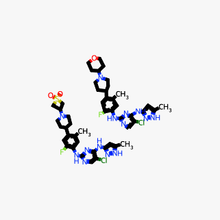 Cc1cc(Nc2nc(Nc3cc(C)c(C4CCN(C5CCOCC5)CC4)cc3F)ncc2Cl)n[nH]1.Cc1cc(Nc2nc(Nc3cc(C)c(C4CCN(C5CS(=O)(=O)C5)CC4)cc3F)ncc2Cl)n[nH]1